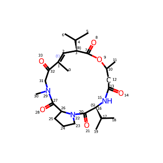 C/C1=C\[C@@H](C(C)C)C(=O)OC(C)CC(=O)N[C@@H](C(C)C)C(=O)N2CCCC2C(=O)N(C)CC1=O